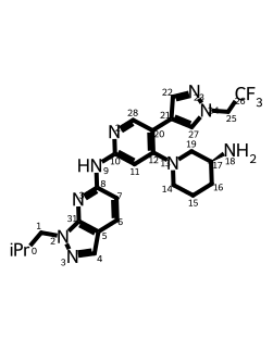 CC(C)Cn1ncc2ccc(Nc3cc(N4CCC[C@H](N)C4)c(-c4cnn(CC(F)(F)F)c4)cn3)nc21